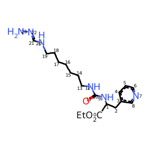 CCOC(=O)C(Cc1cccnc1)NC(=O)NCCCCCCCNC=NN